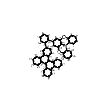 c1ccc2c(c1)Oc1cc(-c3ccccc3-c3ccc4c(c3)c3ccccc3c3c5ccccc5c5ccccc5c43)cc3c1B2c1ccccc1O3